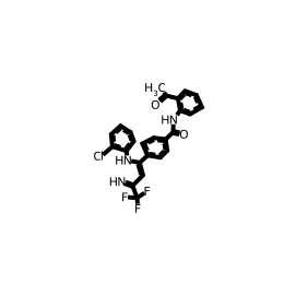 CC(=O)c1ccccc1NC(=O)c1ccc(/C(=C/C(=N)C(F)(F)F)Nc2ccccc2Cl)cc1